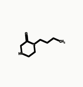 CCCCN1CCNCC1=O